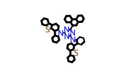 C1=Cc2c(n(-c3nc(-c4cc5ccccc5c5ccccc45)nc(-n4c5ccccc5c5c6sc7ccccc7c6ccc54)n3)c3ccc4c5ccccc5sc4c23)CC1